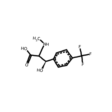 CNC(C(=O)O)[C@H](O)c1ccc(C(F)(F)F)cc1